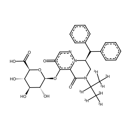 [2H]C([2H])([2H])C([2H])(N1C[C@H](C(c2ccccc2)c2ccccc2)n2ncc(=O)c(O[C@@H]3O[C@H](C(=O)O)[C@@H](O)[C@H](O)[C@H]3O)c2C1=O)C([2H])([2H])[2H]